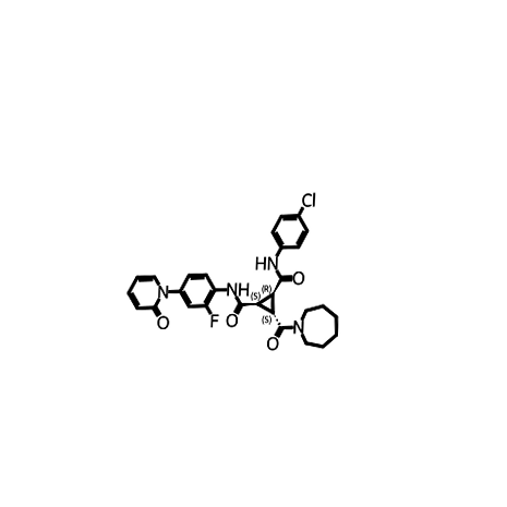 O=C(Nc1ccc(Cl)cc1)[C@@H]1[C@H](C(=O)Nc2ccc(-n3ccccc3=O)cc2F)[C@H]1C(=O)N1CCCCCC1